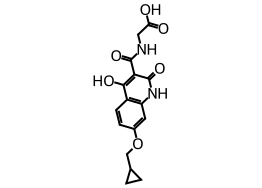 O=C(O)CNC(=O)c1c(O)c2ccc(OCC3CC3)cc2[nH]c1=O